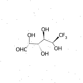 O=C[C@H](O)[C@@H](O)[C@@H](O)[C@H](O)C(F)(F)F